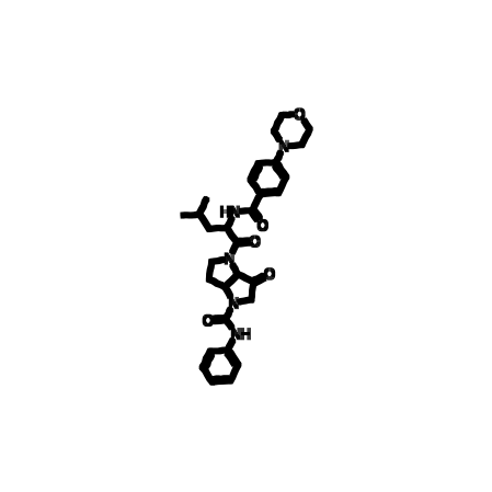 CC(C)CC(NC(=O)c1ccc(N2CCOCC2)cc1)C(=O)N1CCC2C1C(=O)CN2C(=O)Nc1ccccc1